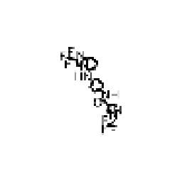 O=C(Nc1ccc(Nc2cccc3nc(C(F)(F)F)cn23)cc1)c1cnn(CC(F)(F)F)c1